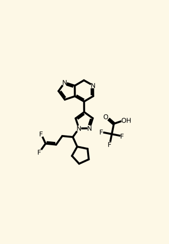 FC(F)=CCC(C1CCCC1)n1cc(C2=C3C=CN=C3CN=C2)cn1.O=C(O)C(F)(F)F